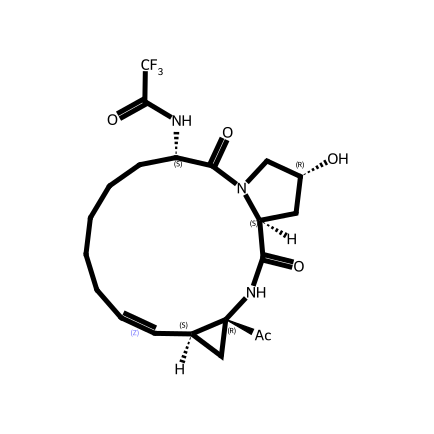 CC(=O)[C@@]12C[C@H]1/C=C\CCCCC[C@H](NC(=O)C(F)(F)F)C(=O)N1C[C@H](O)C[C@H]1C(=O)N2